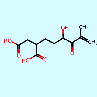 C=C(C)C(=O)C(O)CCC(CC(=O)O)C(=O)O